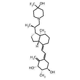 C=C1/C(=C\C=C2/CCC[C@]3(C)[C@@H]([C@@H](C)CN4CCC(O)(C(F)(F)F)CC4)CC[C@@H]23)C[C@@H](O)[C@H](C)[C@@H]1O